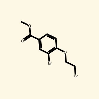 COC(=O)c1ccc(OCCBr)c(Br)c1